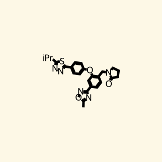 Cc1nc(-c2ccc(CN3CCCC3=O)c(Oc3ccc(-c4nnc(C(C)C)s4)cc3)c2)no1